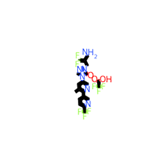 Cc1cc(-n2cnn(CC(CN)=C(F)F)c2=O)cnc1-c1ccc(C(F)(F)F)nc1.O=C(O)C(F)(F)F